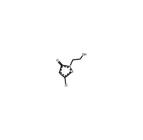 O=c1cc(Cl)sn1CCO